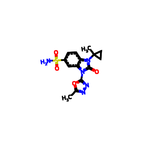 Cc1nnc(-n2c(=O)n(C3(C)CC3)c3ccc(S(N)(=O)=O)cc32)o1